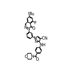 CC(C)(C)c1cc(F)c2c(=O)n(-c3cccc(-n4cc(C#N)c(Nc5ccc(C(=O)N6CCOCC6)cc5)n4)c3)ncc2c1